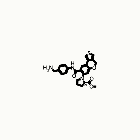 COC(=O)[C@H]1CCCN1c1cc2c(cc1C(=O)Nc1ccc(CN)cc1)-c1cscc1CO2